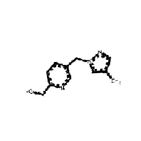 Cc1cnn(Cc2ccc(CO)nc2)c1